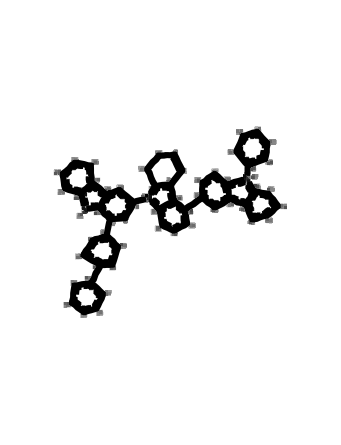 C1=Cc2c(n(-c3cc(-c4ccc(-c5ccccc5)cc4)c4sc5ccccc5c4c3)c3cccc(-c4ccc5c(c4)c4ccccc4n5-c4ccccc4)c23)CC1